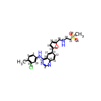 Cc1ccc(Nc2ncnc3ccc(-c4ccc(CNCCS(C)(=O)=O)o4)cc23)cc1Cl